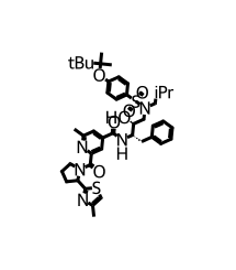 Cc1cc(C(=O)N[C@@H](Cc2ccccc2)[C@H](O)CN(CC(C)C)S(=O)(=O)c2ccc(OC(C)(C)C(C)(C)C)cc2)cc(C(=O)N2CCCC2c2nc(C)cs2)n1